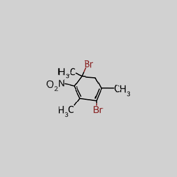 CC1=C(Br)C(C)=C([N+](=O)[O-])C(C)(Br)C1